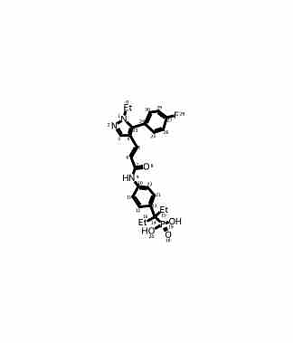 CCn1ncc(/C=C/C(=O)Nc2ccc(C(CC)(CC)P(=O)(O)O)cc2)c1-c1ccc(F)cc1